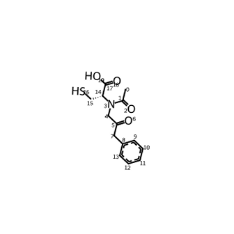 CC(=O)N(CC(=O)Cc1ccccc1)[C@H](CS)C(=O)O